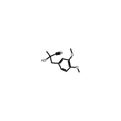 COc1ccc(CC(C)(O)C#N)cc1OC